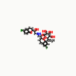 O=C(O)C1OC(OC(CNCC(O)C2CCc3cc(F)ccc3O2)C2CCc3cc(F)ccc3O2)C(O)C(O)C1O